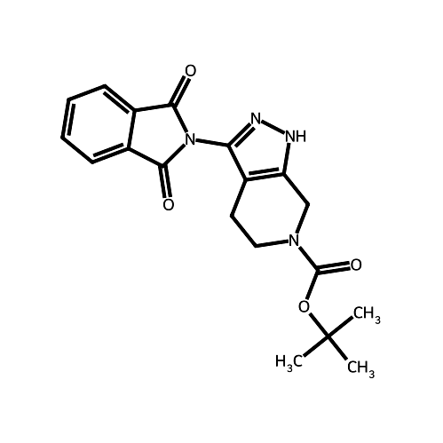 CC(C)(C)OC(=O)N1CCc2c(N3C(=O)c4ccccc4C3=O)n[nH]c2C1